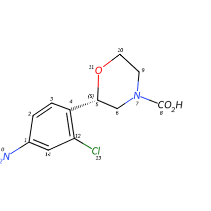 Nc1ccc([C@H]2CN(C(=O)O)CCO2)c(Cl)c1